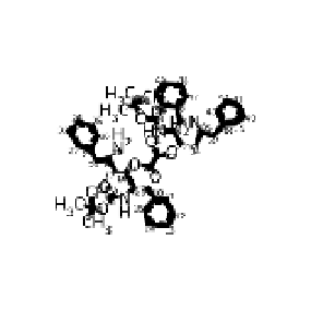 CC(C)(C)OC(=O)N[C@@H](Cc1ccccc1)[C@H](C[C@@H](N)Cc1ccccc1)OC(=O)C(=O)O[C@@H](C[C@@H](N)Cc1ccccc1)[C@H](Cc1ccccc1)NC(=O)OC(C)(C)C